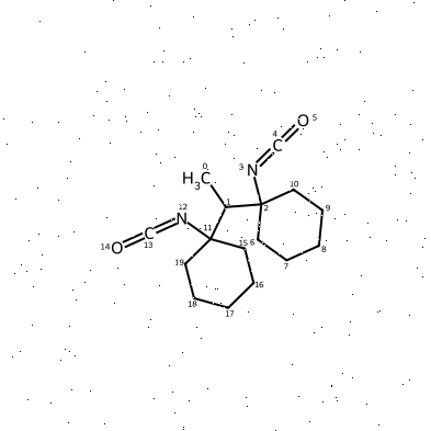 CC(C1(N=C=O)CCCCC1)C1(N=C=O)CCCCC1